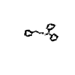 C(CCc1ccccc1)=NN(c1ccccc1)c1ccccc1